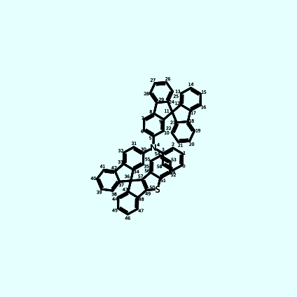 c1ccc(N(c2ccc3c(c2)C2(c4ccccc4-c4ccccc42)c2ccccc2-3)c2ccc3c(c2)C2(c4ccccc4-3)c3ccccc3-c3sc4ccccc4c32)cc1